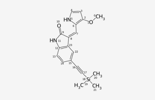 COc1cc[nH]c1C=C1C(=O)Nc2ccc(C#C[Si](C)(C)C)cc21